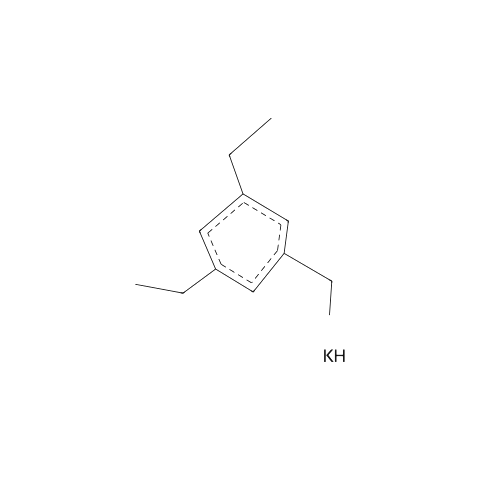 CCc1cc(CC)cc(CC)c1.[KH]